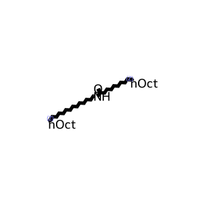 CCCCCCCC/C=C\CCCCCCCCCCCCNC(=O)CCCCCCC/C=C\CCCCCCCC